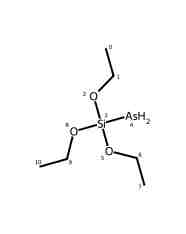 CCO[Si]([AsH2])(OCC)OCC